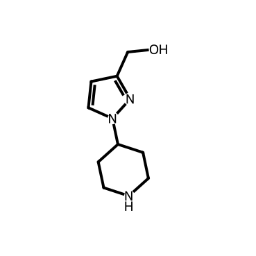 OCc1ccn(C2CCNCC2)n1